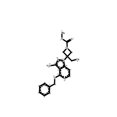 CC(C)(C)OC(=O)N1CC(CC#N)(n2nc(N)c3c(OCc4ccccc4)nccc32)C1